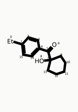 CCc1ccc(C(=O)C2(O)CCCCC2)cc1